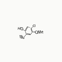 COc1cc(C(C)(C)C)c(O)cc1Cl